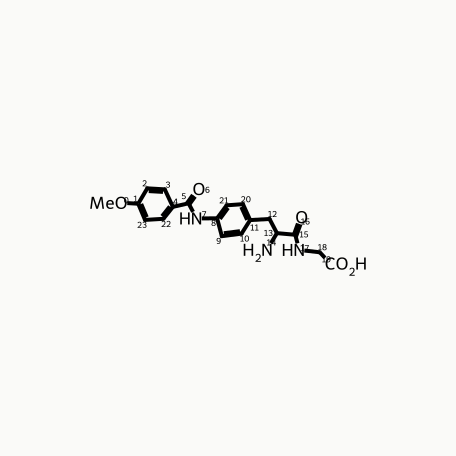 COc1ccc(C(=O)Nc2ccc(CC(N)C(=O)NCC(=O)O)cc2)cc1